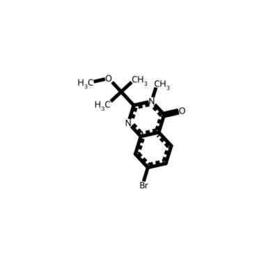 COC(C)(C)c1nc2cc(Br)ccc2c(=O)n1C